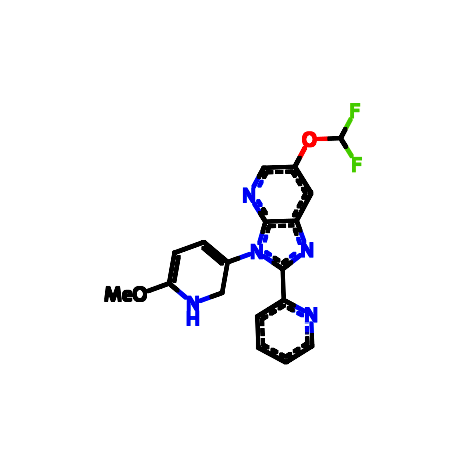 COC1=CC=C(n2c(-c3ccccn3)nc3cc(OC(F)F)cnc32)CN1